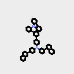 c1cc(-c2ccc(N(c3ccc(-c4ccc5ccccc5c4)cc3)c3cccc(-c4cccc5ccccc45)c3)cc2)cc(-c2ccccc2-n2c3ccccc3c3ccccc32)c1